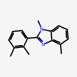 Cc1cccc(-c2nc3c(C)cccc3n2C)c1C